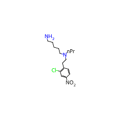 CCCN(CCCCCN)CCc1ccc([N+](=O)[O-])cc1Cl